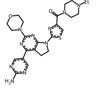 CCN1CCN(C(=O)c2csc(N3CCc4c(-c5cnc(N)nc5)nc(N5CCOCC5)nc43)n2)CC1